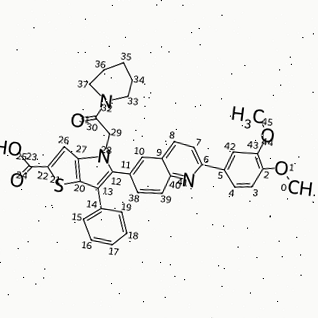 COc1ccc(-c2ccc3cc(-c4c(-c5ccccc5)c5sc(C(=O)O)cc5n4CC(=O)N4CCCCC4)ccc3n2)cc1OC